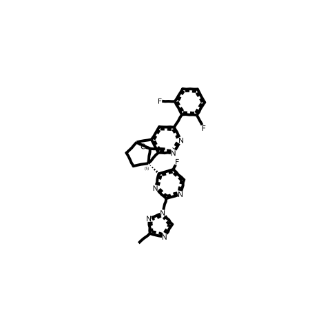 Cc1ncn(-c2ncc(F)c([C@]34CCC5(CC53C)c3cc(-c5c(F)cccc5F)nnc34)n2)n1